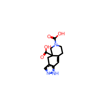 O=C(O)N1CCC2=Cc3[nH]ncc3CC2(C(=O)O)C1